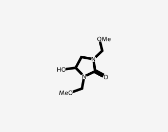 COCN1CC(O)N(COC)C1=O